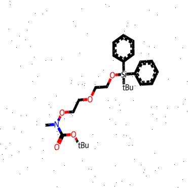 CN(OCCOCCO[Si](c1ccccc1)(c1ccccc1)C(C)(C)C)C(=O)OC(C)(C)C